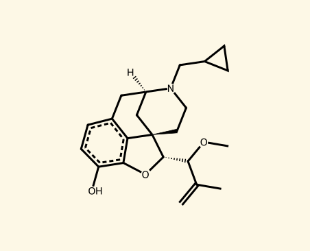 C=C(C)C(OC)[C@@H]1Oc2c(O)ccc3c2[C@@]12CCN(CC1CC1)[C@H](C3)C2